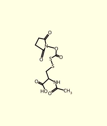 CC(=O)NC(CSSC(=O)ON1C(=O)CCC1=O)C(=O)O